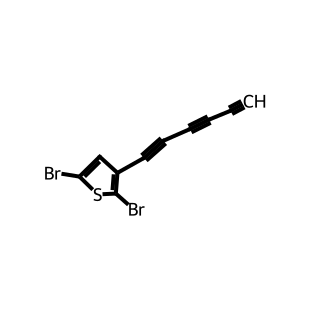 C#CC#CC#Cc1cc(Br)sc1Br